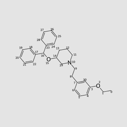 CCOc1cccc(CCN2CCCC(OC(c3ccccc3)c3ccccc3)C2)c1